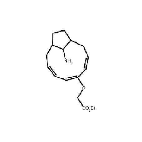 CCOC(=O)COC1=CC=CCC2CCC(CC=C1)C2N